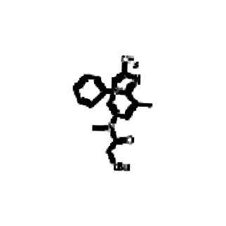 CC1=CC(N(C)C(=O)CC(C)(C)C)=C[N+]2(c3ccccc3)C=C(C(F)(F)F)N=C12